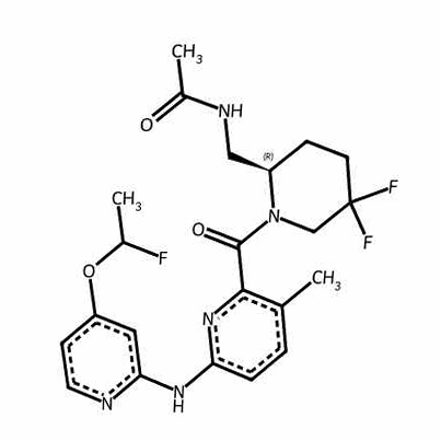 CC(=O)NC[C@H]1CCC(F)(F)CN1C(=O)c1nc(Nc2cc(OC(C)F)ccn2)ccc1C